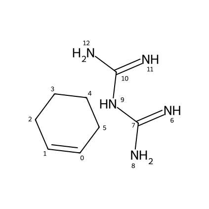 C1=CCCCC1.N=C(N)NC(=N)N